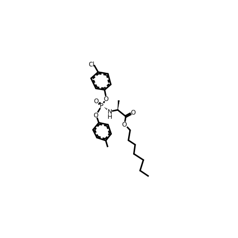 CCCCCCCOC(=O)[C@H](C)N[P@@](=O)(Oc1ccc(C)cc1)Oc1ccc(Cl)cc1